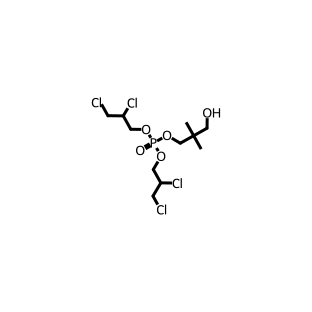 CC(C)(CO)COP(=O)(OCC(Cl)CCl)OCC(Cl)CCl